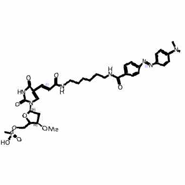 CO[C@@H]1C[C@H](n2cc(/C=C/C(=O)NCCCCCCNC(=O)c3ccc(/N=N/c4ccc(N(C)C)cc4)cc3)c(=O)[nH]c2=O)OC1COP(C)(=O)O